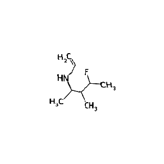 C=CNC(C)C(C)C(C)F